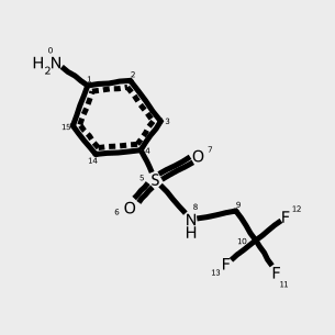 Nc1ccc(S(=O)(=O)NCC(F)(F)F)cc1